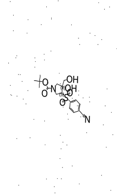 CC(C)(C)OC(=O)N1C[C@H](S(=O)(=O)c2ccc(C#N)cc2)[C@](O)(CO)C1